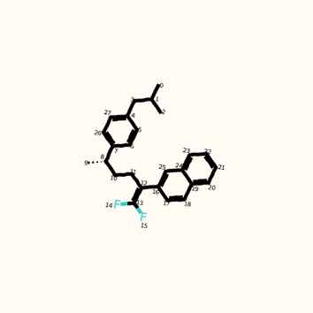 CC(C)Cc1ccc([C@@H](C)CCC(=C(F)F)c2ccc3ccccc3c2)cc1